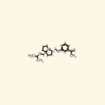 CC(C)OC[C@@]12CCCN1[C@H](COc1cc(C(C)F)ccn1)CC2